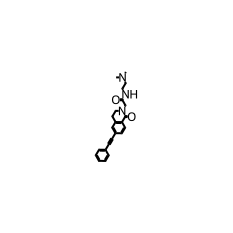 CN(C)CCNC(=O)CN1CCc2cc(C#Cc3ccccc3)ccc2C1=O